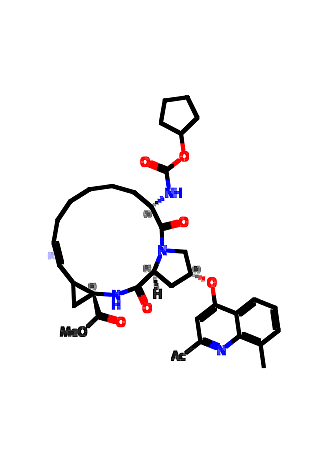 COC(=O)[C@@]12CC1/C=C\CCCCC[C@H](NC(=O)OC1CCCC1)C(=O)N1C[C@H](Oc3cc(C(C)=O)nc4c(C)cccc34)C[C@H]1C(=O)N2